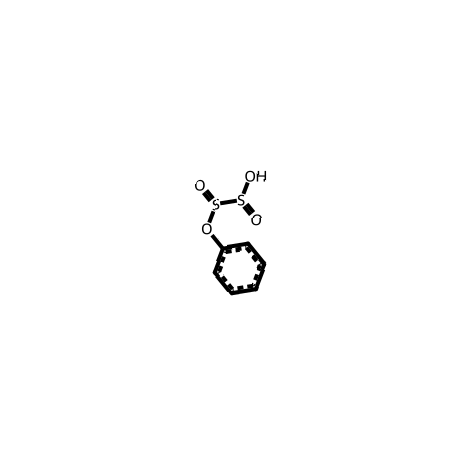 O=S(O)S(=O)Oc1ccccc1